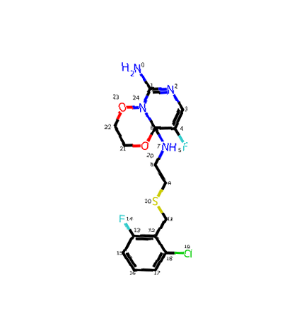 NC1=NC=C(F)C2(NCCSCc3c(F)cccc3Cl)OCCON12